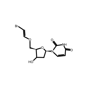 O=c1ccn([C@H]2CC(O)[C@@H](CO/C=C/Br)O2)c(=O)[nH]1